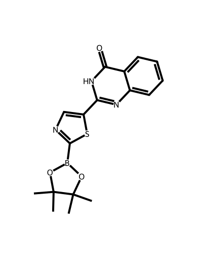 CC1(C)OB(c2ncc(-c3nc4ccccc4c(=O)[nH]3)s2)OC1(C)C